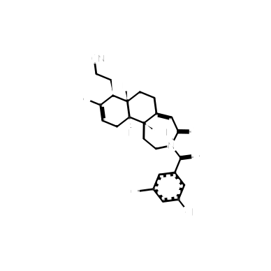 CC1=CC[C@H]2[C@@H](CCC3=CC(=O)N(C(=O)c4cc(Cl)cc(Cl)c4)CC[C@@]32C)[C@@H]1CCC#N